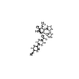 Cc1c(N2CCC[C@H]2[C@H]2CC[C@H](CC(=O)N3CCN(c4ccc(C#N)cn4)CC3)O2)cn[nH]c1=O